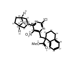 COC(=O)C1(Cc2nc(Cl)nc(N3C[C@H]4CC[C@@H](C3)N4C(=O)O)c2[N+](=O)[O-])CCCc2ccccc21